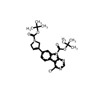 CC(C)(C)OC(=O)N1CC=C(c2ccc3c4c(Cl)ncnc4n(C(=O)OC(C)(C)C)c3c2)C1